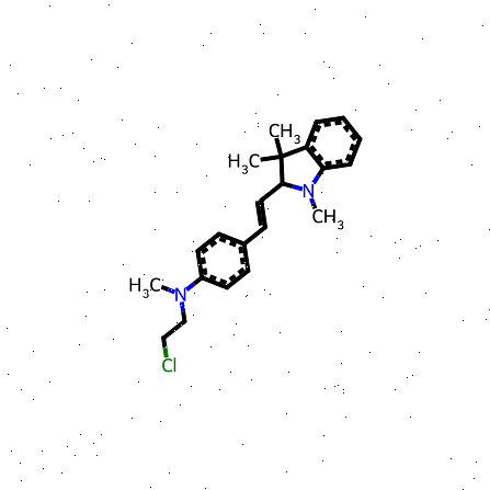 CN(CCCl)c1ccc(C=CC2N(C)c3ccccc3C2(C)C)cc1